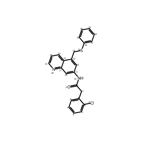 O=C(Cc1ccccc1Cl)Nc1cc(CSc2ccccc2)c2cccnc2c1